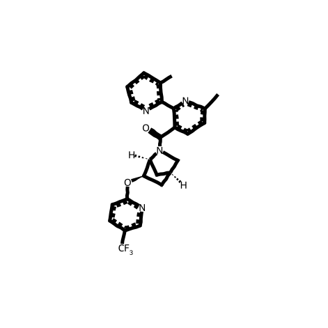 Cc1ccc(C(=O)N2C[C@H]3C[C@@H](Oc4ccc(C(F)(F)F)cn4)[C@@H]2C3)c(-c2ncccc2C)n1